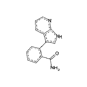 NC(=O)c1ccccc1-c1c[nH]c2ncccc12